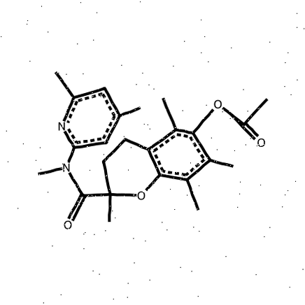 CC(=O)Oc1c(C)c(C)c2c(c1C)CCC(C)(C(=O)N(C)c1cc(C)cc(C)n1)O2